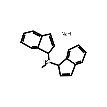 C[SiH](C1C=Cc2ccccc21)C1C=Cc2ccccc21.[NaH]